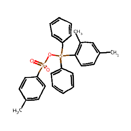 Cc1ccc(S(=O)(=O)OS(c2ccccc2)(c2ccccc2)c2ccc(C)cc2C)cc1